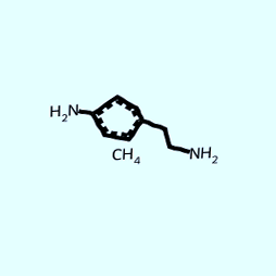 C.NCCc1ccc(N)cc1